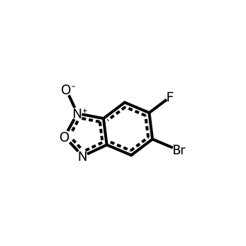 [O-][n+]1onc2cc(Br)c(F)cc21